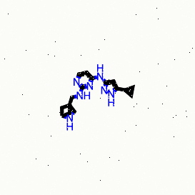 c1cc(Nc2cc(C3CC3)[nH]n2)nc(NCC23CNC(C2)C3)n1